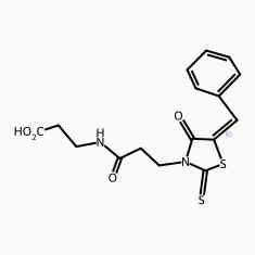 O=C(O)CCNC(=O)CCN1C(=O)/C(=C\c2ccccc2)SC1=S